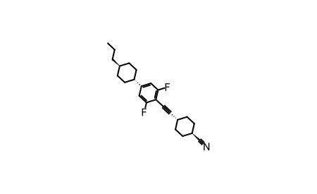 CCC[C@H]1CC[C@H](c2cc(F)c(C#C[C@H]3CC[C@H](C#N)CC3)c(F)c2)CC1